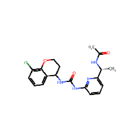 CC(=O)N[C@H](C)c1cccc(NC(=O)NC2CCOc3c(Cl)cccc32)n1